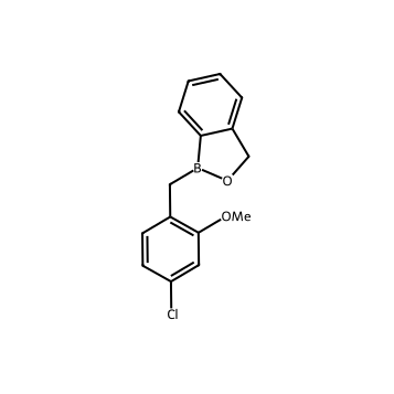 COc1cc(Cl)ccc1CB1OCc2ccccc21